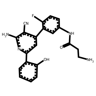 N#Cc1c(-c2cc(NC(=O)CCN)ccc2F)cc(-c2ccccc2O)nc1N